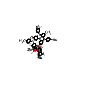 Cc1cc2c3c(c1)Oc1cc4c(cc1B3c1cc3c(cc1O2)N(C)c1cc(C)cc2c1B3c1cc(C(C)(C)C)ccc1N2c1ccc(C(C)(C)C)cc1)B1c2cc(C(C)(C)C)ccc2N(c2ccc(C(C)(C)C)cc2)c2cc(C)cc(c21)N4c1ccc(C(C)(C)C)cc1